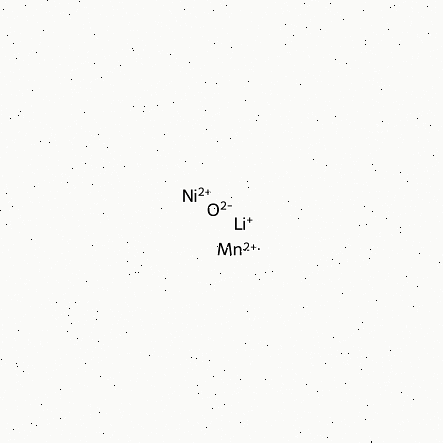 [Li+].[Mn+2].[Ni+2].[O-2]